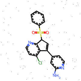 Nc1cc(C2=CC(S(=O)(=O)c3ccccc3)c3nccc(Cl)c32)ccn1